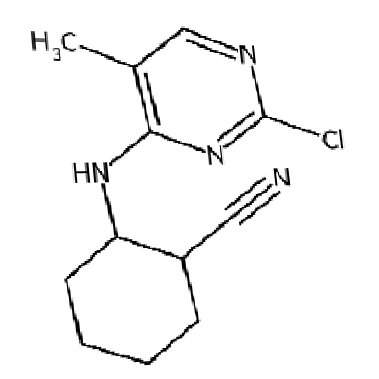 Cc1cnc(Cl)nc1NC1CCCCC1C#N